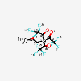 CCC[Si](C(=O)C(F)(F)F)(C(=O)C(F)(F)F)C(=O)C(F)(F)F